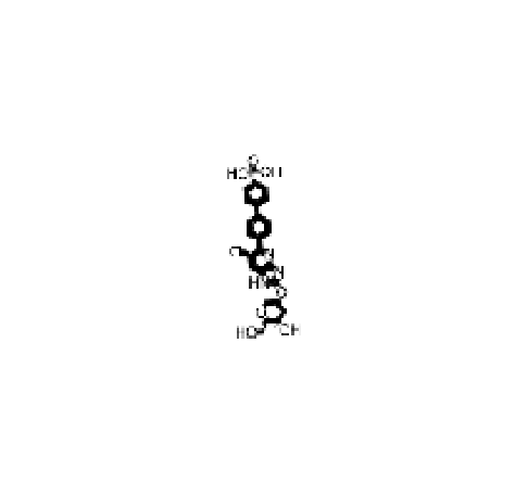 O=P(O)(O)c1ccc(-c2ccc(-c3nc4nc(O[C@H]5CO[C@H](CO)[C@@H](O)C5)[nH]c4cc3Cl)cc2)cc1